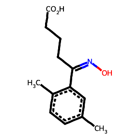 Cc1ccc(C)c(/C(CCCC(=O)O)=N\O)c1